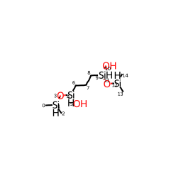 C[SiH](C)O[SiH](O)CCC[SiH](O)O[SiH](C)C